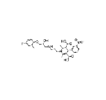 CC1=C(C(=O)O)C(c2cccc([N+](=O)[O-])c2)C(C(=O)O)=C(C)N1CCCNCC(O)COc1ccc(F)cc1C